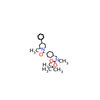 CC1CC(c2ccccc2)CCN1C(=O)[C@H]1CC[C@H](CN(C)C(=O)OC(C)(C)C)CC1